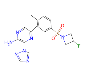 Cc1ccc(S(=O)(=O)N2CC(F)C2)cc1-c1cnc(N)c(-n2cncn2)n1